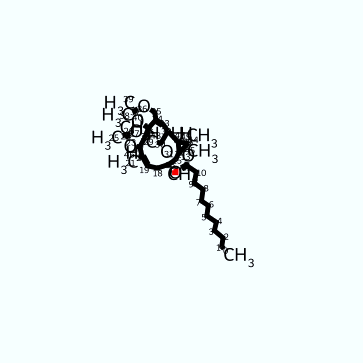 CCCCCCCCCCCC(=O)O[C@@]12C[C@@H](C)C/C=C(/C)[C@@H]3OC(C)(C)O[C@]34CC(=O)[C@@H](C=C3COC(C)(C)O[C@H]34)[C@@H]1C2(C)C